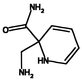 NCC1(C(N)=O)C=CC=CN1